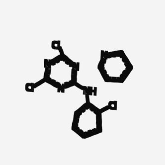 Clc1nc(Cl)nc(Nc2ccccc2Cl)n1.c1ccncc1